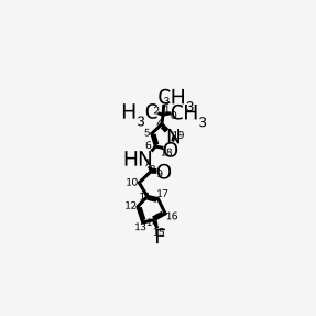 CC(C)(C)c1cc(NC(=O)Cc2ccc(F)cc2)on1